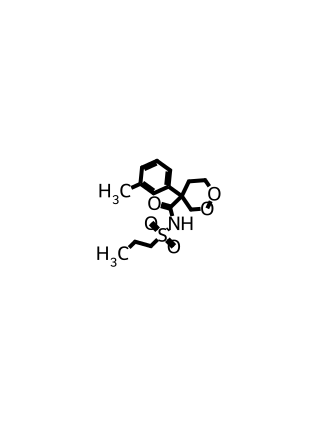 CCCS(=O)(=O)NC(=O)C1(c2cccc(C)c2)CCOOC1